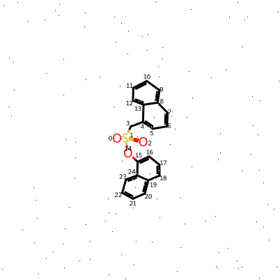 O=S(=O)(Cc1cccc2ccccc12)Oc1cccc2ccccc12